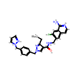 COCc1nn(Cc2ccc(Cn3cccn3)cc2)cc1C(=O)NCc1cc2ccnc(N)c2cc1F